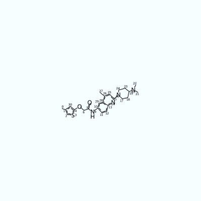 Cc1csc(OCC(=O)Nc2ccc3nc(N4CCC(N(C)C)CC4)cc(C)c3c2)c1